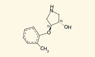 Cc1ccccc1O[C@H]1CNC[C@@H]1O